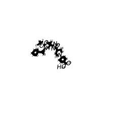 CC(C)(C)OC(=O)N(CC1(c2noc(C3CCN(c4ccc(C(=O)O)cc4)CC3)n2)CC1)[C@H]1CC1c1ccccc1